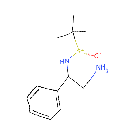 CC(C)(C)[S@+]([O-])NC(CN)c1ccccc1